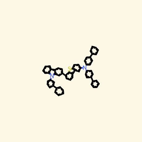 c1ccc(-c2ccc(N(c3ccc(-c4ccccc4)cc3)c3ccc4sc5c(-c6ccc7c8ccccc8n(-c8cccc(-c9ccccc9)c8)c7c6)cccc5c4c3)cc2)cc1